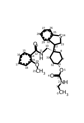 CCNC(=O)O[C@H]1CC[C@](CNC(=O)c2ccccc2OC)(C2CSc3ccccc32)CC1